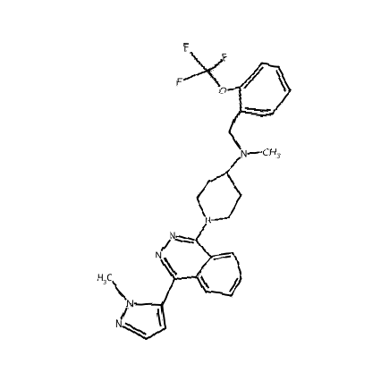 CN(Cc1ccccc1OC(F)(F)F)C1CCN(c2nnc(-c3ccnn3C)c3ccccc23)CC1